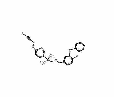 CC(C)(COCc1ccc(F)c(Oc2ccccc2)c1)c1ccc(OCC#CI)cc1